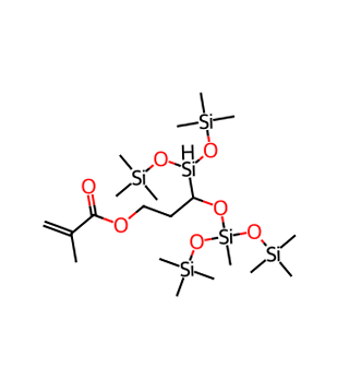 C=C(C)C(=O)OCCC(O[Si](C)(O[Si](C)(C)C)O[Si](C)(C)C)[SiH](O[Si](C)(C)C)O[Si](C)(C)C